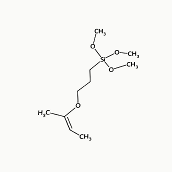 CC=C(C)OCCC[Si](OC)(OC)OC